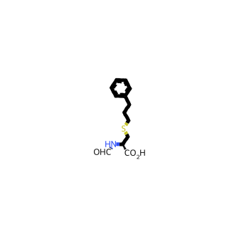 O=CN[C@@H](CSCCCc1ccccc1)C(=O)O